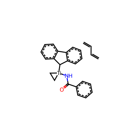 C=CC=C.O=C([NH][Ti]1([CH]2c3ccccc3-c3ccccc32)[CH2][CH2]1)c1ccccc1